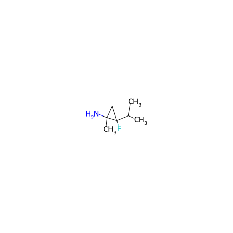 CC(C)C1(F)CC1(C)N